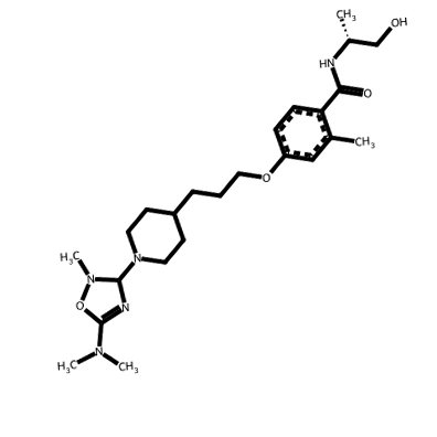 Cc1cc(OCCCC2CCN(C3N=C(N(C)C)ON3C)CC2)ccc1C(=O)N[C@H](C)CO